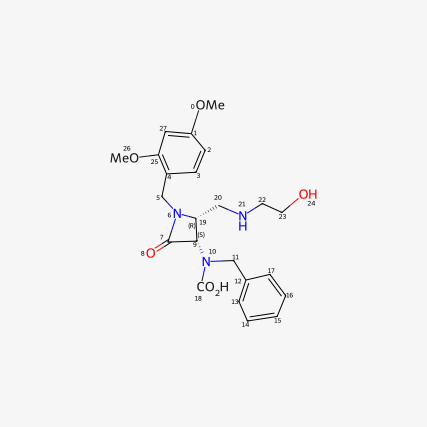 COc1ccc(CN2C(=O)[C@@H](N(Cc3ccccc3)C(=O)O)[C@H]2CNCCO)c(OC)c1